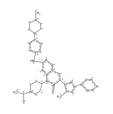 Cc1sc(-c2ccnnc2)nc1-c1cc2cnc(Nc3ccc(N4CCN(C)CC4)cc3)nc2n(C2CCN([S+](C)[O-])CC2)c1=O